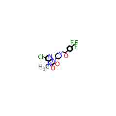 Cn1c(=O)c(=O)n(C2CCN(CC(=O)c3ccc(C(F)(F)F)cc3)CC2)c2ncc(Cl)cc21